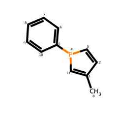 Cc1ccp(-c2ccccc2)c1